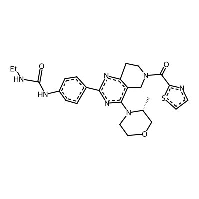 CCNC(=O)Nc1ccc(-c2nc3c(c(N4CCOC[C@H]4C)n2)CN(C(=O)c2nccs2)CC3)cc1